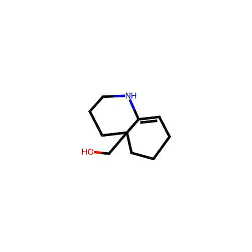 OCC12CCCC=C1NCCC2